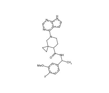 COc1cc(C(C)NC(=O)C2CCN(c3ncnc4[nH]ccc34)CC23CC3)ccc1F